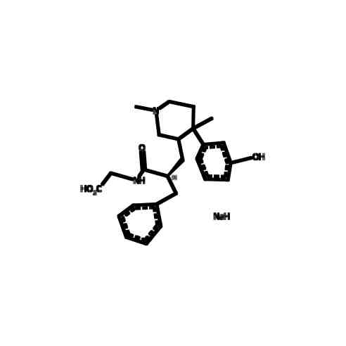 CN1CCC(C)(c2cccc(O)c2)C(C[C@@H](Cc2ccccc2)C(=O)NCC(=O)O)C1.[NaH]